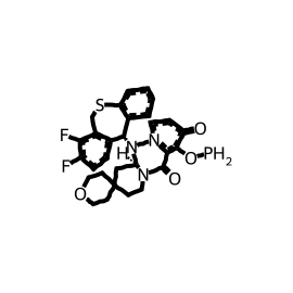 O=C1c2c(OP)c(=O)ccn2N([C@@H]2c3ccccc3SCc3c2ccc(F)c3F)[C@@H]2CC3(CCOCC3)CCN12